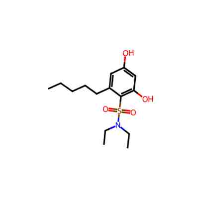 CCCCCc1cc(O)cc(O)c1S(=O)(=O)N(CC)CC